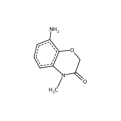 CN1C(=O)COc2c(N)cccc21